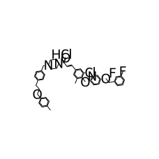 Cc1ccc(OCCc2ccc(CN3CCN(C(=O)/C=C/c4cc(C)c(Oc5ccc(OCc6cccc(F)c6F)cn5)c(Cl)c4)CC3)cc2)cc1.Cl